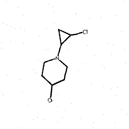 [O]C1CCN(C2CC2Cl)CC1